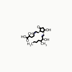 CCCCC(C)[C@@H](O)/C=C/[C@H]1[C@H](O)CC(=O)[C@@H]1C/C=C\CCC(C)C(=O)O